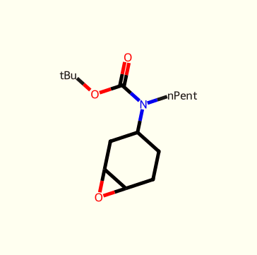 CCCCCN(C(=O)OC(C)(C)C)C1CCC2OC2C1